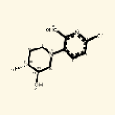 O=Cc1nc(Cl)ccc1N1CC[C@@H](F)[C@H](O)C1